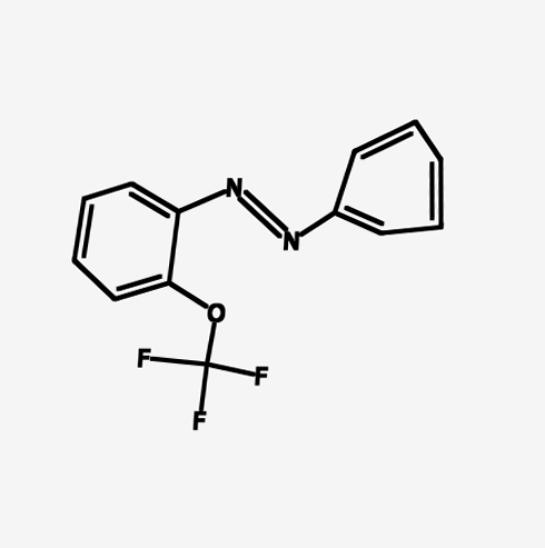 FC(F)(F)Oc1ccccc1N=Nc1ccccc1